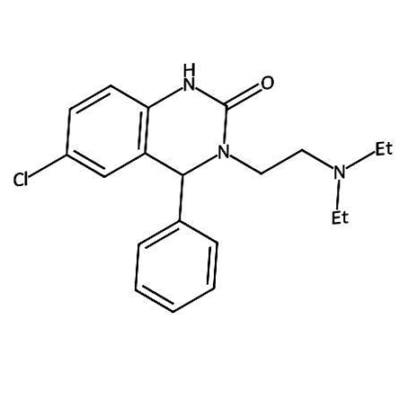 CCN(CC)CCN1C(=O)Nc2ccc(Cl)cc2C1c1ccccc1